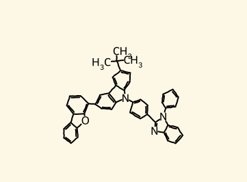 CC(C)(C)c1ccc2c(c1)c1cc(-c3cccc4c3oc3ccccc34)ccc1n2-c1ccc(-c2nc3ccccc3n2-c2ccccc2)cc1